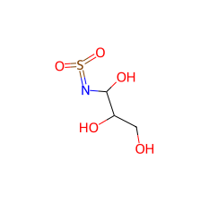 O=S(=O)=NC(O)C(O)CO